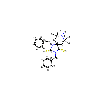 CN1C(C)(C)CC2(CC1(C)C)C(=S)N(Cc1ccccc1)C(=S)N2Cc1ccccc1